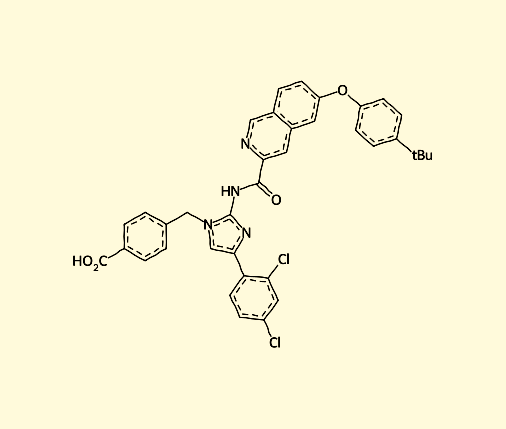 CC(C)(C)c1ccc(Oc2ccc3cnc(C(=O)Nc4nc(-c5ccc(Cl)cc5Cl)cn4Cc4ccc(C(=O)O)cc4)cc3c2)cc1